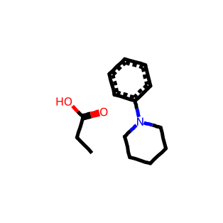 CCC(=O)O.c1ccc(N2CCCCC2)cc1